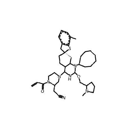 C=CC(=O)N1CCN(C2NC(OCC3CCCN3C)N(C3CCCCCCC3)C3C[C@]4(CCC23)Cc2cccc(C)c2S4)CC1CC#N